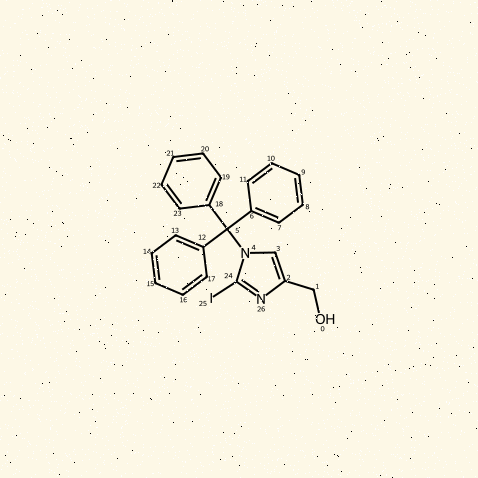 OCc1cn(C(c2ccccc2)(c2ccccc2)c2ccccc2)c(I)n1